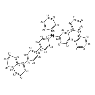 c1ccc(-c2ccccc2-c2cccc(N(c3ccccc3)c3ccc(-c4ccc(-c5cccc6ccccc56)cc4)cc3)c2)cc1